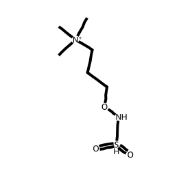 C[N+](C)(C)CCCON[SH](=O)=O